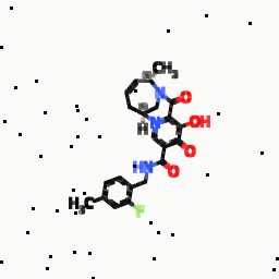 Cc1ccc(CNC(=O)c2cn3c(c(O)c2=O)C(=O)N2C[C@@H]3CC=C[C@@H]2C)c(F)c1